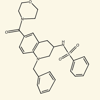 O=C(c1ccc2c(c1)CC(NS(=O)(=O)c1ccccc1)CN2Cc1ccccc1)N1CCOCC1